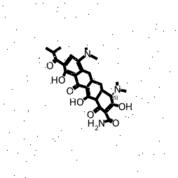 CC(C)C(=O)c1cc(N(C)C)c2c(c1O)C(=O)C1=C(O)C3C(=O)C(C(N)=O)=C(O)[C@@H](N(C)C)C3CC1C2